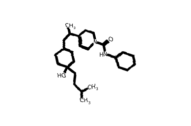 CC(C)CCC1(O)CCC(CC(C)C2=CCN(C(=O)NC3CCCCC3)CC2)CC1